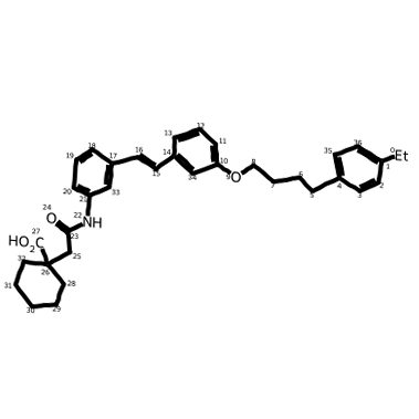 CCc1ccc(CCCCOc2cccc(/C=C/c3cccc(NC(=O)CC4(C(=O)O)CCCCC4)c3)c2)cc1